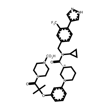 CC(C)(Oc1cccc(N2CCC[C@@H](C(=O)N(Cc3ccc(-c4cn[nH]c4)c(C(F)(F)F)c3)C3CC3)C2)c1)C(=O)N1CCN(C(=O)O)CC1